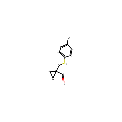 Cc1ccc(SCC2(C=O)CC2)cc1